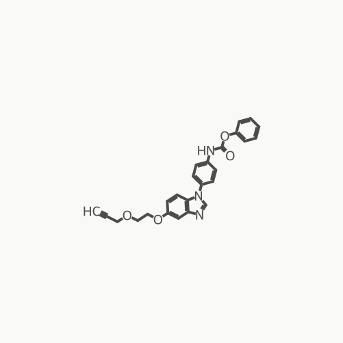 C#CCOCCOc1ccc2c(c1)ncn2-c1ccc(NC(=O)Oc2ccccc2)cc1